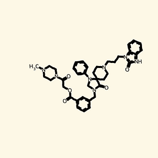 CN1CCN(C(=O)COC(=O)c2cccc(CN3CN(c4ccccc4)C4(CCN(CCCn5c(=O)[nH]c6ccccc65)CC4)C3=O)c2)CC1